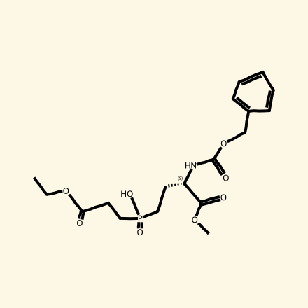 CCOC(=O)CCP(=O)(O)CC[C@H](NC(=O)OCc1ccccc1)C(=O)OC